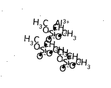 CO[Si](C)([O-])OC.CO[Si](C)([O-])OC.CO[Si](C)([O-])OC.[Al+3]